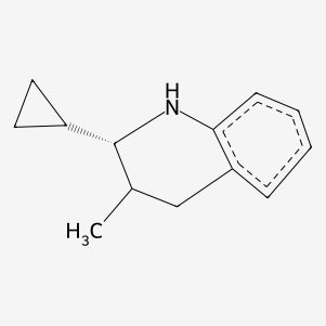 CC1Cc2ccccc2N[C@H]1C1CC1